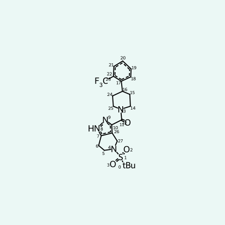 CC(C)(C)S(=O)(=O)N1CCc2[nH]nc(C(=O)N3CCC(c4ccccc4C(F)(F)F)CC3)c2C1